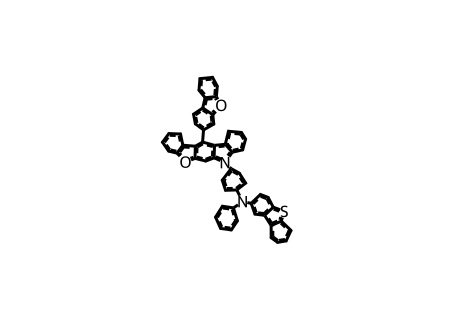 c1ccc(N(c2ccc(-n3c4ccccc4c4c(-c5ccc6c(c5)oc5ccccc56)c5c(cc43)oc3ccccc35)cc2)c2ccc3sc4ccccc4c3c2)cc1